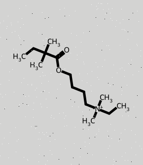 CCC(C)(C)C(=O)OCCCC[N+](C)(C)CC